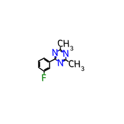 Cc1nc(C)nc(-c2cccc(F)c2)n1